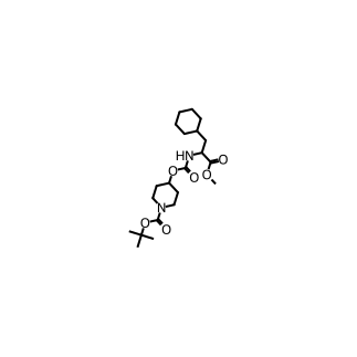 COC(=O)C(CC1CCCCC1)NC(=O)OC1CCN(C(=O)OC(C)(C)C)CC1